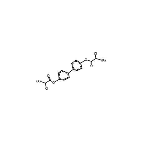 CCC(C)C(Cl)C(=O)Oc1ccc(-c2ccc(OC(=O)C(Cl)C(C)CC)cc2)cc1